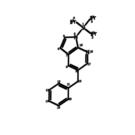 CC(C)[Si](C(C)C)(C(C)C)n1ccc2cc(Cc3ccccc3)cnc21